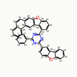 c1ccc(-c2nc(-c3ccc4oc5ccccc5c4c3)nc(-c3cccc4oc5cc6ccc7ccccc7c6cc5c34)n2)cc1